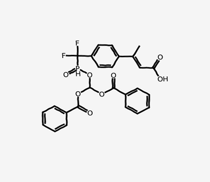 C/C(=C\C(=O)O)c1ccc(C(F)(F)[PH](=O)OC(OC(=O)c2ccccc2)OC(=O)c2ccccc2)cc1